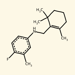 CC1=C(CNc2ccc(F)c(C)c2)C(C)(C)CCC1